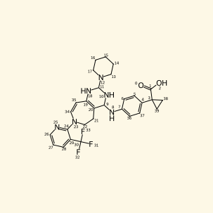 O=C(O)C1(c2ccc(NC3NC(N4CCCCC4)NC4=C3CCN(c3ncccc3C(F)(F)F)C=C4)cc2)CC1